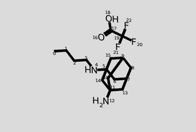 CCCCNC12CC3CC(CC(N)(C3)C1)C2.O=C(O)C(F)(F)F